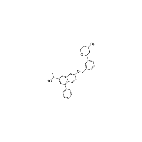 CC(O)c1cc(-c2ccccc2)c2ccc(OCc3cccc(C4CC(O)CCO4)c3)cc2c1